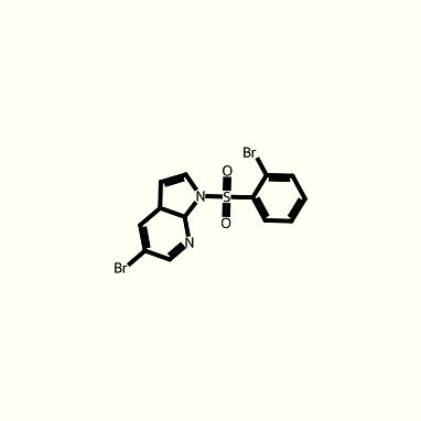 O=S(=O)(c1ccccc1Br)N1C=CC2C=C(Br)C=NC21